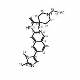 C=C(Nc1cc2cc(-c3cnc(C)n3C)ccc2cn1)C1(F)CCN(CC(C)C)CC1